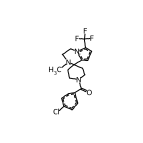 CN1CCn2c(C(F)(F)F)ccc2C12CCN(C(=O)c1ccc(Cl)cc1)CC2